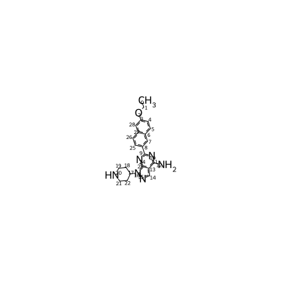 CCOc1ccc2cc(-c3nc(N)c4cnn(C5CCNCC5)c4n3)ccc2c1